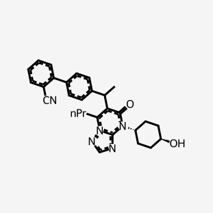 CCCc1c(C(C)c2ccc(-c3ccccc3C#N)cc2)c(=O)n([C@H]2CC[C@H](O)CC2)c2ncnn12